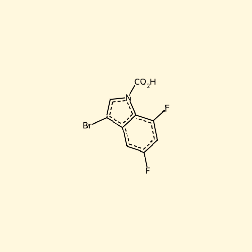 O=C(O)n1cc(Br)c2cc(F)cc(F)c21